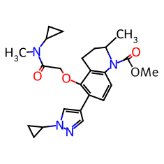 COC(=O)N1c2ccc(-c3cnn(C4CC4)c3)c(OCC(=O)N(C)C3CC3)c2CCC1C